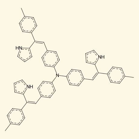 Cc1ccc(/C(=C/c2ccc(N(c3ccc(/C=C(/c4ccc(C)cc4)c4ccc[nH]4)cc3)c3ccc(/C=C(/c4ccc(C)cc4)c4ccc[nH]4)cc3)cc2)c2ccc[nH]2)cc1